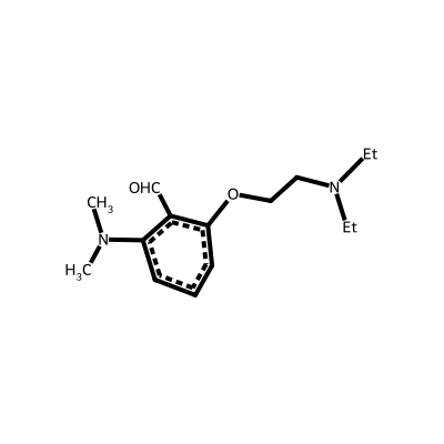 CCN(CC)CCOc1cccc(N(C)C)c1C=O